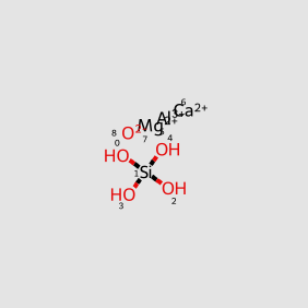 O[Si](O)(O)O.[Al+3].[Ca+2].[Mg+2].[O-2]